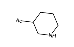 CC(=O)C1CCCNC1